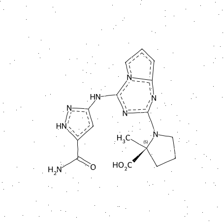 C[C@@]1(C(=O)O)CCCN1c1nc(Nc2cc(C(N)=O)[nH]n2)n2cccc2n1